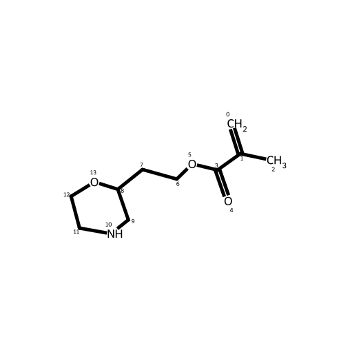 C=C(C)C(=O)OCCC1CNCCO1